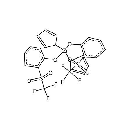 O=S(=O)(c1ccccc1[O][Zr]([O]c1ccccc1S(=O)(=O)C(F)(F)F)([CH]1C=CC=C1)[CH]1C=CC=C1)C(F)(F)F